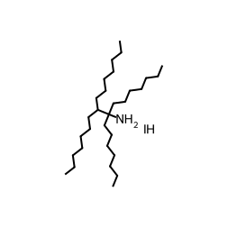 CCCCCCCC(CCCCCCC)C(N)(CCCCCCC)CCCCCCC.I